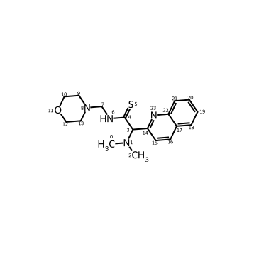 CN(C)C(C(=S)NCN1CCOCC1)c1ccc2ccccc2n1